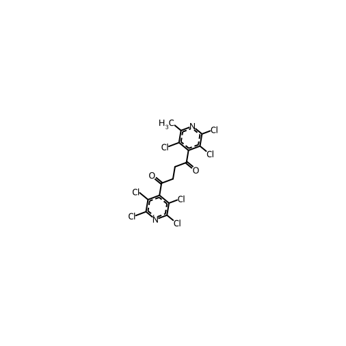 Cc1nc(Cl)c(Cl)c(C(=O)CCC(=O)c2c(Cl)c(Cl)nc(Cl)c2Cl)c1Cl